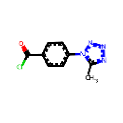 Cc1nnnn1-c1ccc(C(=O)Cl)cc1